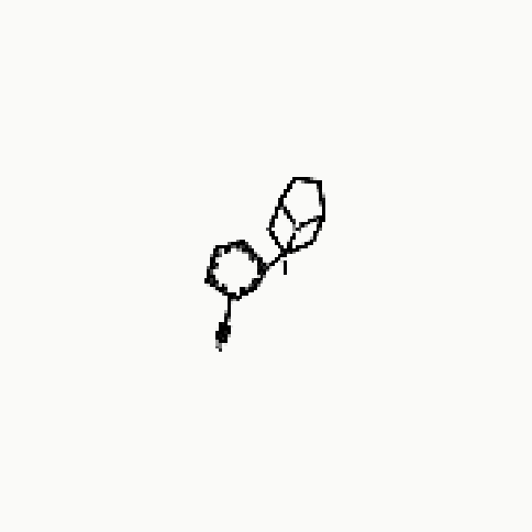 CN1CC2CCC(C1)N2Cc1cccc(C#N)c1